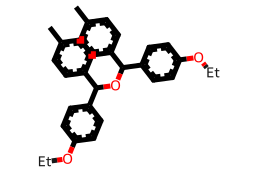 CCOc1ccc(C(OC(c2ccc(C)cc2)c2ccc(OCC)cc2)c2ccc(C)cc2)cc1